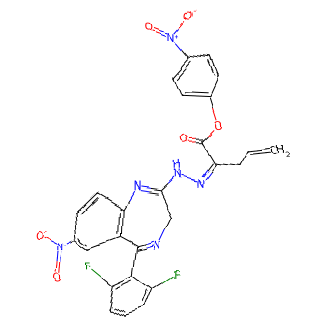 C=CCC(=NNC1=Nc2ccc([N+](=O)[O-])cc2C(c2c(F)cccc2F)=NC1)C(=O)Oc1ccc([N+](=O)[O-])cc1